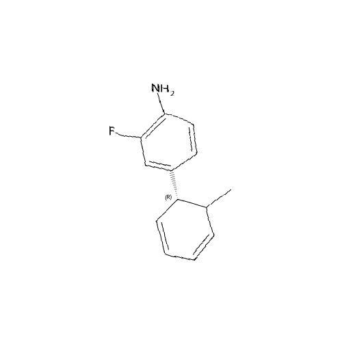 CC1C=CC=C[C@@H]1c1ccc(N)c(F)c1